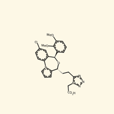 COc1cccc([C@H]2O[C@H](CCc3nnnn3CC(=O)O)c3cccn3-c3ccc(Cl)cc32)c1OC